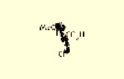 COc1ccc2nccc(C(F)CC[C@@H]3CCN(CCSc4ccc(Cl)s4)C[C@@H]3CC(=O)O)c2c1